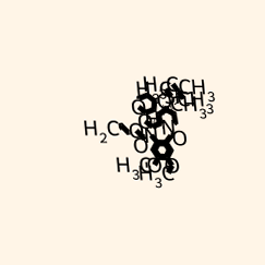 C=CCOC(=O)N1c2cc(OC)c(OC)cc2C(=O)N2CC[C@@H](O[Si](C)(C)C(C)(C)C)C[C@H]2C1OC1CCCCO1